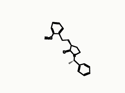 COc1ccccc1CC[C@H]1CCN([C@@H](C)c2ccccc2)C1=O